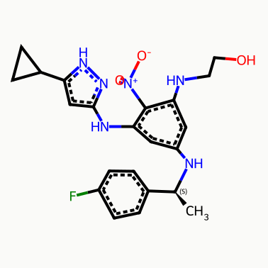 C[C@H](Nc1cc(NCCO)c([N+](=O)[O-])c(Nc2cc(C3CC3)[nH]n2)c1)c1ccc(F)cc1